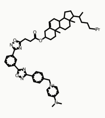 CC(C)CCCC(C)C1CCC2C3CC=C4CC(OC(=O)CCc5nc(-c6cccc(-c7nc(-c8ccc(C[n+]9ccc(N(C)C)cc9)cc8)no7)c6)no5)CCC4(C)C3CCC12C